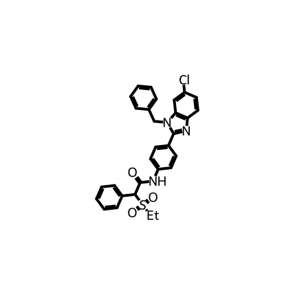 CCS(=O)(=O)C(C(=O)Nc1ccc(-c2nc3ccc(Cl)cc3n2Cc2ccccc2)cc1)c1ccccc1